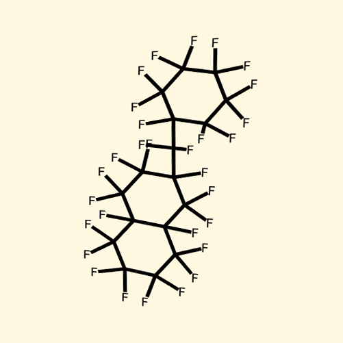 FC1(F)C(F)(F)C(F)(F)C(F)(C(F)(F)C2(F)C(F)(F)C(F)(F)C3(F)C(F)(F)C(F)(F)C(F)(F)C(F)(F)C3(F)C2(F)F)C(F)(F)C1(F)F